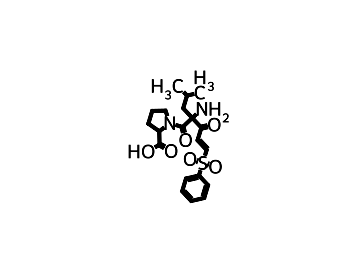 CC(C)CC(N)(C(=O)C=CS(=O)(=O)c1ccccc1)C(=O)N1CCCC1C(=O)O